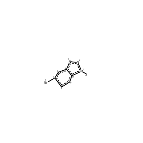 Cn1nnc2cc(Br)ccc21